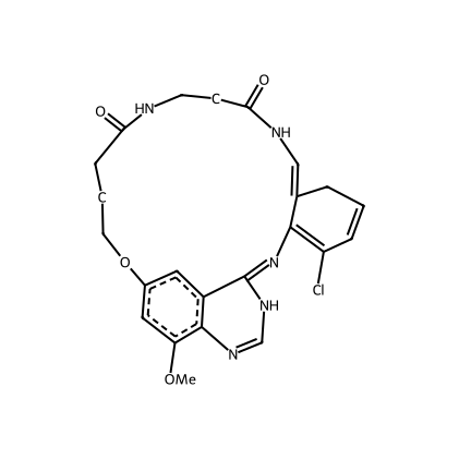 COc1cc2cc3c1N=CN/C3=N/C1=C(Cl)C=CC/C1=C/NC(=O)CCNC(=O)CCCO2